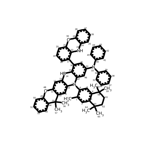 Cc1cc2c(cc1N1c3cc4c(cc3Bc3c(-c5cccc6c5Nc5ccccc5O6)cc(N(c5ccccc5)c5ccccc5)cc31)Oc1ccccc1C4(C)C)C(C)(C)CCC2(C)C